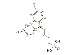 O=P(O)(O)CCCCn1c2ccc(F)cc2c2cc(F)ccc21